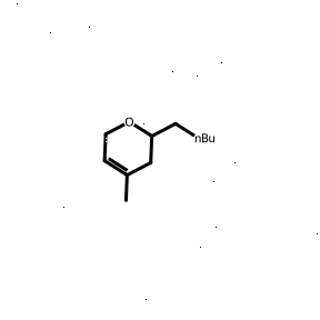 CCCCCC1CC(C)=CCO1